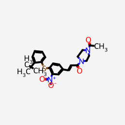 CC(=O)N1CCN(C(=O)C=Cc2ccc(Sc3ccccc3C(C)(C)C)c([N+](=O)[O-])c2)CC1